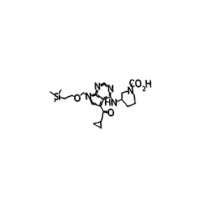 C[Si](C)(C)CCOCn1cc(C(=O)C2CC2)c2c(NC3CCCN(C(=O)O)C3)ncnc21